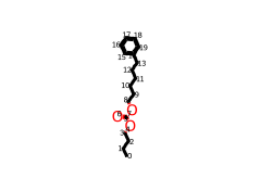 CCCCOC(=O)OCCCCCCc1ccccc1